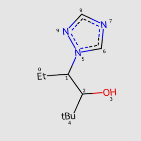 CCC(C(O)C(C)(C)C)n1cncn1